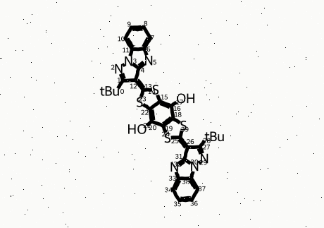 CC(C)(C)c1nn2c(nc3ccccc32)c1=C1Sc2c(O)c3c(c(O)c2S1)SC(=c1c(C(C)(C)C)nn2c1nc1ccccc12)S3